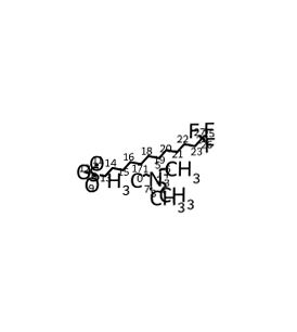 CC[N+](CC)(CC)CC.O=S(=O)([O-])CCCCCCCCCCCC(F)(F)F